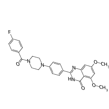 COc1cc(OC)c2c(=O)[nH]c(-c3ccc(N4CCN(C(=O)c5ccc(F)cc5)CC4)cc3)nc2c1